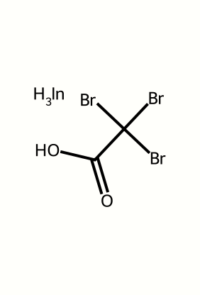 O=C(O)C(Br)(Br)Br.[InH3]